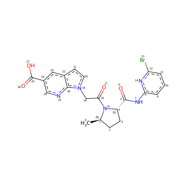 C[C@@H]1CC[C@@H](C(=O)Nc2cccc(Br)n2)N1C(=O)Cn1ccc2cc(C(=O)O)cnc21